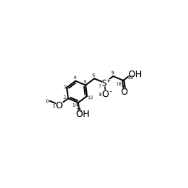 COc1ccc(C[S+]([O-])CC(=O)O)cc1O